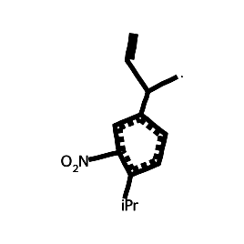 [CH2]C(C=C)c1ccc(C(C)C)c([N+](=O)[O-])c1